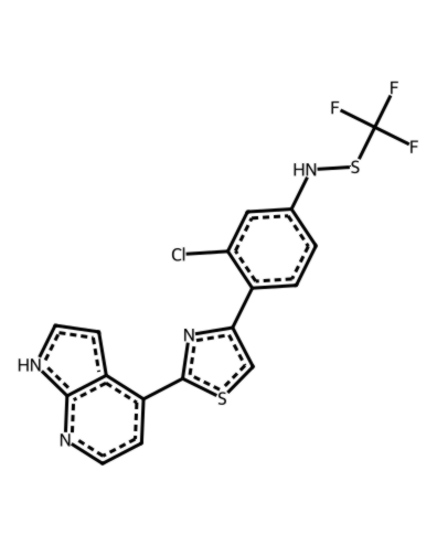 FC(F)(F)SNc1ccc(-c2csc(-c3ccnc4[nH]ccc34)n2)c(Cl)c1